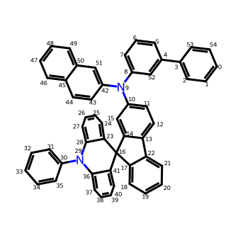 c1ccc(-c2cccc(N(c3ccc4c(c3)C3(c5ccccc5-4)c4ccccc4N(c4ccccc4)c4ccccc43)c3ccc4ccccc4c3)c2)cc1